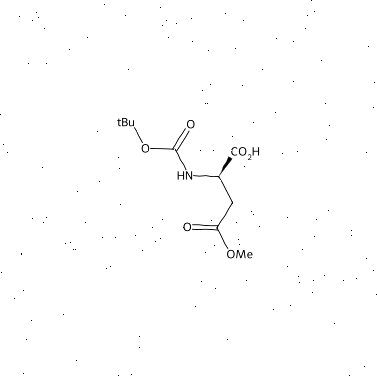 COC(=O)C[C@@H](NC(=O)OC(C)(C)C)C(=O)O